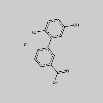 O=C(O)c1ccc[n+](-c2cc(O)ccc2O)c1.[Cl-]